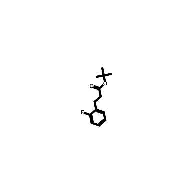 CC(C)(C)OC(=O)CCc1ccccc1F